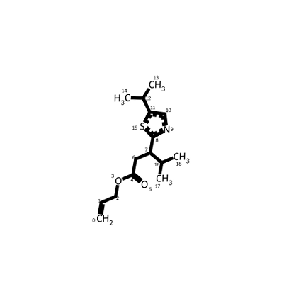 C=CCOC(=O)CC(c1ncc(C(C)C)s1)C(C)C